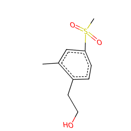 Cc1cc(S(C)(=O)=O)ccc1CCO